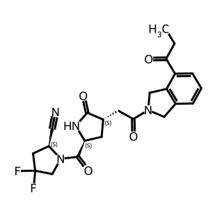 CCC(=O)c1cccc2c1CN(C(=O)C[C@@H]1C[C@@H](C(=O)N3CC(F)(F)C[C@H]3C#N)NC1=O)C2